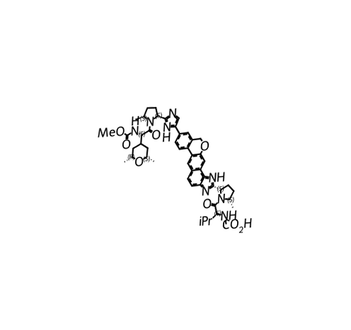 COC(=O)N[C@H](C(=O)N1[C@@H](C)CC[C@H]1c1ncc(-c2ccc3c(c2)COc2cc4c(ccc5nc([C@@H]6CC[C@H](C)N6C(=O)[C@@H](NC(=O)O)C(C)C)[nH]c54)cc2-3)[nH]1)C1C[C@@H](C)O[C@@H](C)C1